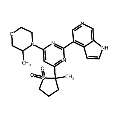 CC1COCCN1c1cc(C2(C)CCCS2(=O)=O)nc(-c2cncc3[nH]ccc23)n1